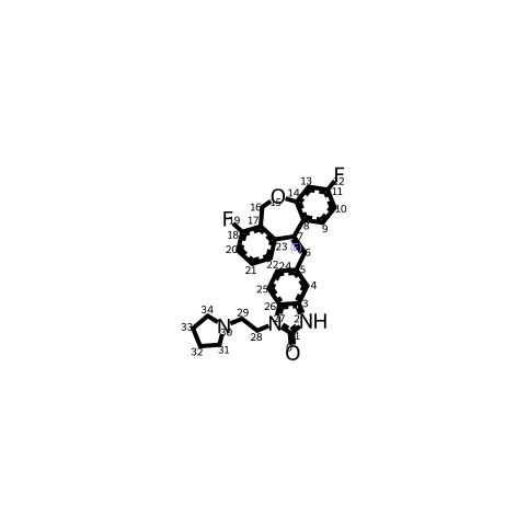 O=c1[nH]c2cc(/C=C3/c4ccc(F)cc4OCc4c(F)cccc43)ccc2n1CCN1CCCC1